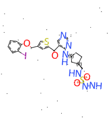 N=NS(=O)(=O)NC[C@@H]1CC[C@H](Nc2ncncc2C(=O)c2cc(COc3ccccc3I)cs2)C1